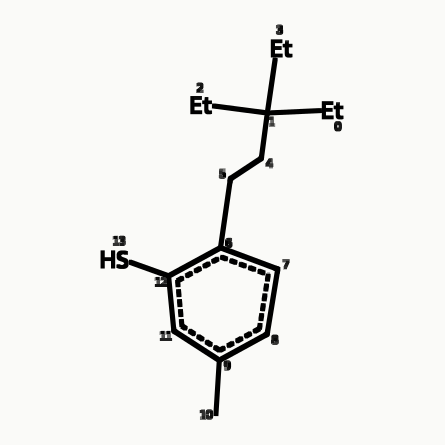 CCC(CC)(CC)CCc1ccc(C)cc1S